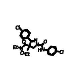 CCON(CC)C(=O)C1(C)CN(C(=O)Nc2ccc(Cl)cc2)N=C1c1ccc(Cl)cc1